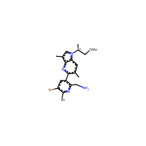 COC[C@H](C)n1cc(C)c2nc(-c3cc(Br)c(C(C)C)nc3CN)c(C)cc21